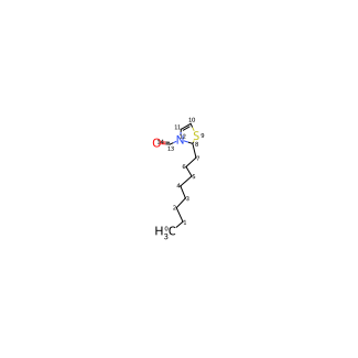 CCCCCCCCC1SC=CN1C=O